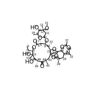 CC[C@H]1OC(=O)[C@H](C)[C@@H](OC2C[C@@](C)(OC)[C@@H](O)[C@H](C)O2)[C@H](C)[C@@H](O[C@@H]2O[C@H](C)C[C@H](N(C)C)[C@H]2OC(C)=O)[C@](C)(OC)C[C@@H](C)C(=O)[C@H](C)[C@@H](O)[C@]1(C)O